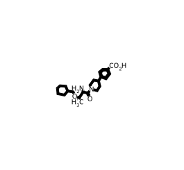 C[C@@H](OCC1CCCCC1)[C@H](N)C(=O)N1CCC(c2ccc(C(=O)O)cc2)CC1